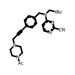 CC(=O)N1CCN(CC#Cc2ccc(CN(CC(C)(C)C)c3ccnc(C#N)n3)cc2)CC1